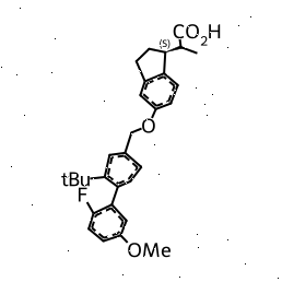 COc1ccc(F)c(-c2ccc(COc3ccc4c(c3)CC[C@H]4C(C)C(=O)O)cc2C(C)(C)C)c1